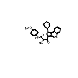 COc1ccc(NC(=O)C(C#N)C(=O)c2nn(C3C=CCC=C3)c3c2=CSC2=CC=CCC=32)cc1